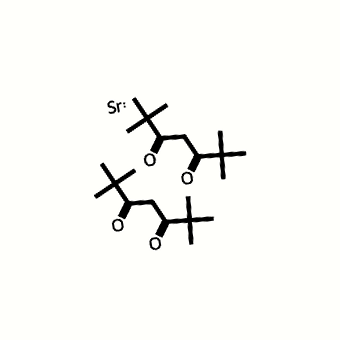 CC(C)(C)C(=O)CC(=O)C(C)(C)C.CC(C)(C)C(=O)CC(=O)C(C)(C)C.[Sr]